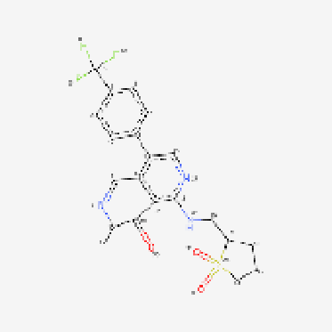 CC1N=Cc2c(-c3ccc(C(F)(F)F)cc3)cnc(NCC3CCCS3(=O)=O)c2C1=O